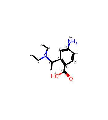 CCN(CC)C(C)c1cc(N)ccc1C(=O)O